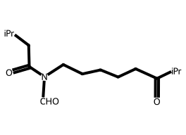 CC(C)CC(=O)N(C=O)CCCCCC(=O)C(C)C